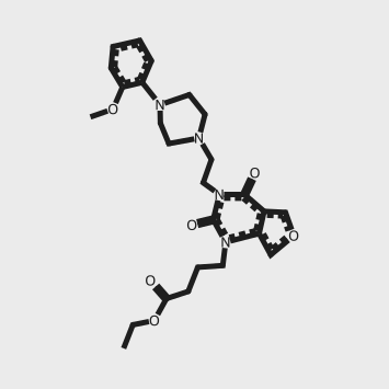 CCOC(=O)CCCn1c(=O)n(CCN2CCN(c3ccccc3OC)CC2)c(=O)c2cocc21